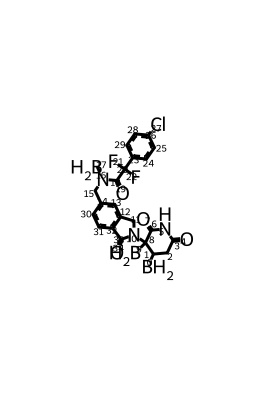 BC1CC(=O)NC(=O)C1(B)N1Cc2cc(CN(B)C(=O)C(F)(F)c3ccc(Cl)cc3)ccc2C1=O